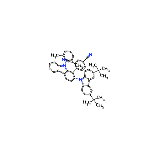 Cc1cccc(C)c1-n1c2ccccc2c2ccc(-n3c4ccc(C(C)(C)C)cc4c4cc(C(C)(C)C)ccc43)c(-c3ccc(C#N)cc3C#N)c21